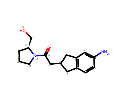 Nc1ccc2c(c1)C[C@H](CC(=O)N1CCC[C@H]1CO)C2